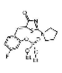 CCOP(=O)(OCC)Oc1cc(F)ccc1/C=C1\SC(N2CCCC2)=NC1=O